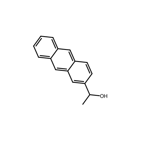 CC(O)c1ccc2cc3ccccc3cc2c1